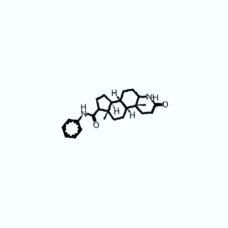 C[C@]12CCC(=O)NC1CC[C@@H]1[C@H]2CC[C@]2(C)C(C(=O)Nc3ccccc3)CC[C@@H]12